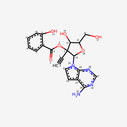 C#CC1(OC(=O)c2ccccc2O)C(O)C(CO)OC1n1ccc2c(N)ncnc21